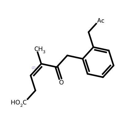 CC(=O)Cc1ccccc1CC(=O)/C(C)=C\CC(=O)O